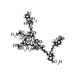 CC(=O)c1ccc(C[C@H](NC(=O)COCCNC(=O)[C@@H](CSC2CC(=O)N(CCNC(=O)CCCCCN3/C(=C/C=C/C=C/C4=Nc5ccc([SH](=O)=O)cc5C4(C)C)C(C)(C)c4cc(S(=O)(=O)O)ccc43)C2=O)NC(=O)[C@@H](CCCNC(=N)N)NC(=O)[C@@H](CCCNC(=N)N)NC(=O)[C@H](C)CCCNC(=N)N)C(N)=O)cc1